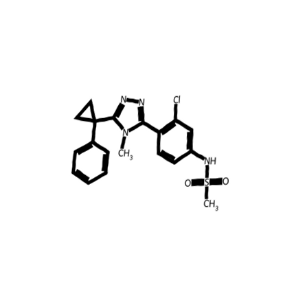 Cn1c(-c2ccc(NS(C)(=O)=O)cc2Cl)nnc1C1(c2ccccc2)CC1